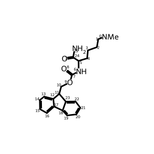 CNCCCCC(NC(=O)OCC1c2ccccc2-c2ccccc21)C(N)=O